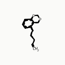 C=CCCCc1cccc2c1COCO2